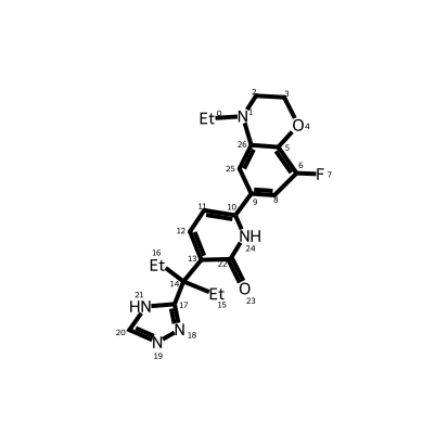 CCN1CCOc2c(F)cc(-c3ccc(C(CC)(CC)c4nnc[nH]4)c(=O)[nH]3)cc21